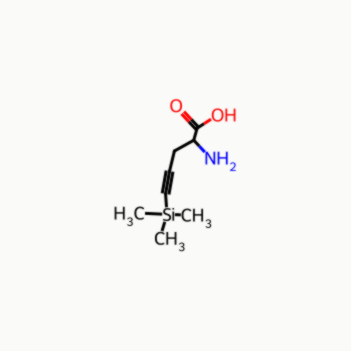 C[Si](C)(C)C#CCC(N)C(=O)O